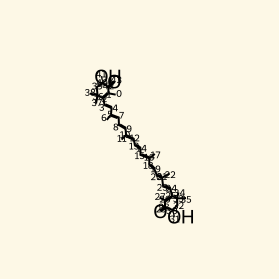 CC1=C(/C=C/C(C)=C/C=C/C(C)=C/C=C/C=C(C)/C=C/C=C(C)/C=C/C2=C(C)C(=O)[C@H](O)CC2(C)C)C(C)(C)C[C@@H](O)C1=O